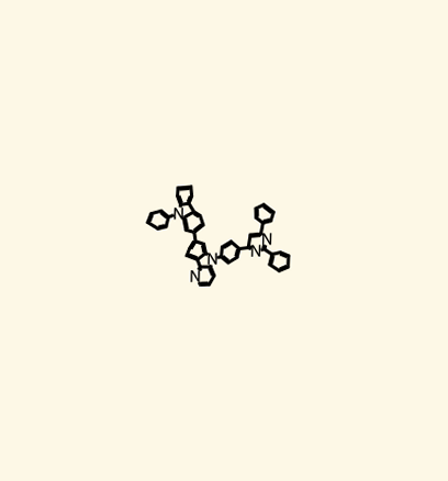 c1ccc(-c2cc(-c3ccc(-n4c5cc(-c6ccc7c8ccccc8n(-c8ccccc8)c7c6)ccc5c5ncccc54)cc3)nc(-c3ccccc3)n2)cc1